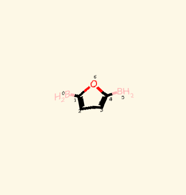 Bc1ccc(B)o1